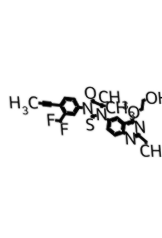 CC#Cc1ccc(N2C(=O)C(C)(C)N(c3ccc4nc(CC)nc(OCCO)c4c3)C2=S)cc1C(F)F